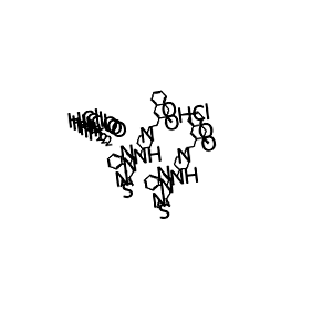 Cl.Cl.Cl.Cl.O.O.O.O=c1oc2ccccc2cc1CCN1CCC(Nc2nc3ccccc3n2Cc2cscn2)CC1.O=c1oc2ccccc2cc1CCN1CCC(Nc2nc3ccccc3n2Cc2cscn2)CC1